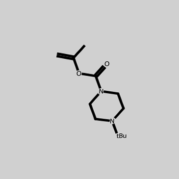 C=C(C)OC(=O)N1CCN(C(C)(C)C)CC1